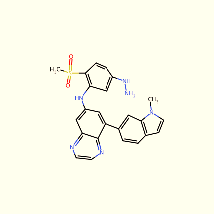 Cn1ccc2ccc(-c3cc(Nc4cc(NN)ccc4S(C)(=O)=O)cc4nccnc34)cc21